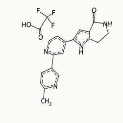 Cc1ccc(-c2cc(-c3cc4c([nH]3)CCNC4=O)ccn2)cn1.O=C(O)C(F)(F)F